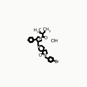 CCC(CC)C(=O)N1CC(CN2CCC3(CC2)CCN(Cc2ccc(Br)cc2)C3=O)C(c2ccccc2)C1.Cl